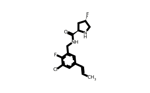 C/C=C/c1cc(Cl)c(F)c(CNC(=O)[C@H]2C[C@H](F)CN2)c1